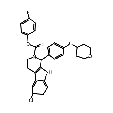 O=C(Oc1ccc(F)cc1)N1CCc2c([nH]c3c2=CC(Cl)CC=3)C1c1ccc(OC2CCOCC2)cc1